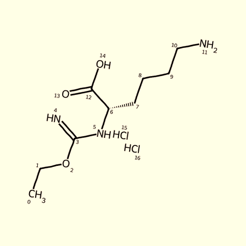 CCOC(=N)N[C@@H](CCCCN)C(=O)O.Cl.Cl